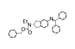 CCN(C(=O)OCc1ccccc1)[C@H]1Cc2ccc(N=C(c3ccccc3)c3ccccc3)cc2C1